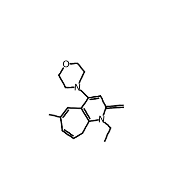 C=C1C=C(N2CCOCC2)C2=C(CC=CC(C)=C2)N1CC